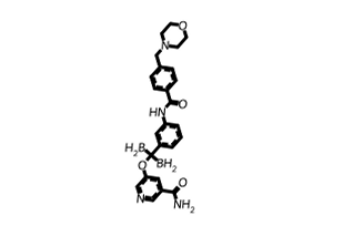 BC(B)(Oc1cncc(C(N)=O)c1)c1cccc(NC(=O)c2ccc(CN3CCOCC3)cc2)c1